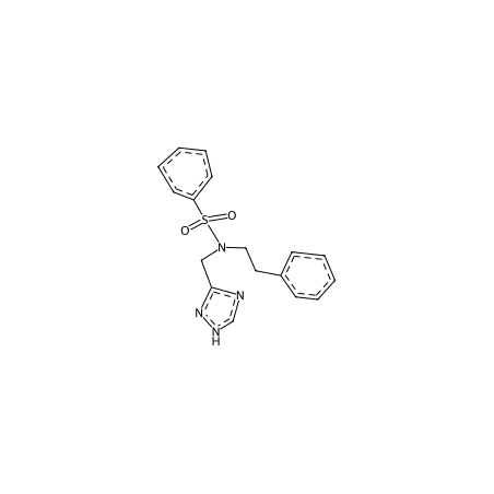 O=S(=O)(c1ccccc1)N(CCc1ccccc1)Cc1nc[nH]n1